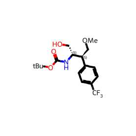 COC[C@@H](c1ccc(C(F)(F)F)cc1)[C@@H](CO)NC(=O)OC(C)(C)C